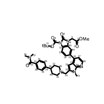 COC(=O)Cn1c(=O)n(C(=O)OC(C)(C)C)c2ccc(-c3ccnc4c3cc(CN3CCC(c5ccc(C(=O)N(C)C)cc5)CC3)n4C)cc21